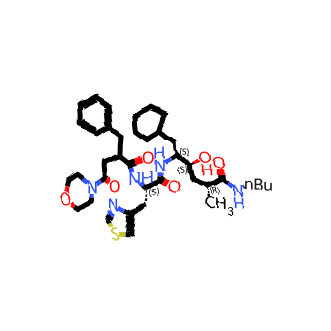 CCCCNC(=O)[C@H](C)C[C@H](O)[C@H](CC1CCCCC1)NC(=O)[C@H](Cc1cscn1)NC(=O)C(CC(=O)N1CCOCC1)Cc1ccccc1